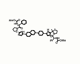 COC(=O)NC(C(=O)N1CCSC1(C)c1ncc(-c2ccc(-c3ccc4cc(-c5cnc([C@@H]6CCCN6C(=O)[C@H](NC(=O)OC)c6ccccc6)[nH]5)ccc4c3)cc2)[nH]1)C(C)C